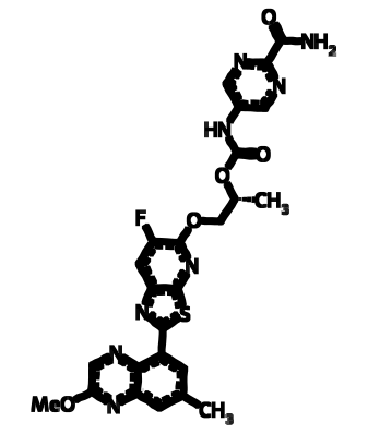 COc1cnc2c(-c3nc4cc(F)c(OC[C@@H](C)OC(=O)Nc5cnc(C(N)=O)nc5)nc4s3)cc(C)cc2n1